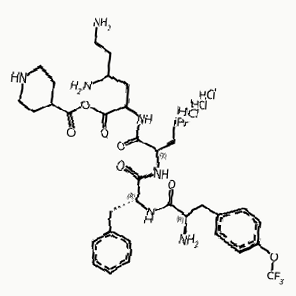 CC(C)C[C@@H](NC(=O)[C@@H](Cc1ccccc1)NC(=O)[C@H](N)Cc1ccc(OC(F)(F)F)cc1)C(=O)NC(CC(N)CCN)C(=O)OC(=O)C1CCNCC1.Cl.Cl.Cl